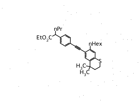 CCCCCCc1cc2c(cc1C#Cc1ccc(C(CCC)C(=O)OCC)cc1)C(C)(C)CCS2